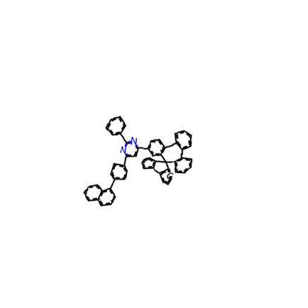 c1ccc(-c2nc(-c3ccc(-c4cccc5ccccc45)cc3)cc(-c3ccc4c(c3)C3(c5ccccc5-c5ccccc5-4)c4ccccc4-c4ccccc43)n2)cc1